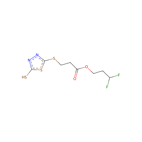 O=C(CCSc1nnc(S)s1)OCCC(F)F